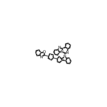 c1ccc2oc(-c3ccc(-c4ccc5c6ccccc6n(-c6nc7ccccc7c7nc8ccccc8n67)c5c4)cc3)nc2c1